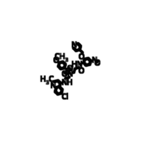 COc1ccc(S(=O)(=O)N(CCNc2cc(C)nc3ccc(Cl)cc23)CCC(=O)Nc2ccc(N=O)cc2OCc2ccncc2)cc1